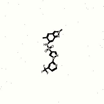 Cc1cc2cn(C)nc2cc1NS(=O)(=O)c1cnn(-c2cc(C(F)(F)F)ccn2)c1